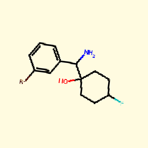 NC(c1cccc(Br)c1)C1(O)CCC(F)CC1